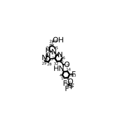 O=C(Nc1ccc(OC(F)(F)F)c(F)c1)c1cnc(N2CC[C@H](CO)C2)c(-c2ccn[nH]2)c1